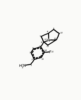 NCc1ccc(C23CC4CCC(C2)N43)c(F)c1